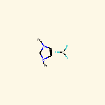 CC(C)N1C=CN(C(C)C)C1.FB(F)F